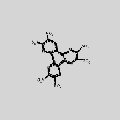 O=[N+]([O-])c1cc2c(nc1[N+](=O)[O-])c1nc([N+](=O)[O-])c([N+](=O)[O-])cc1c1nc([N+](=O)[O-])c([N+](=O)[O-])nc21